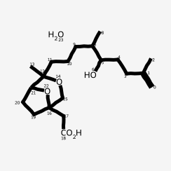 C=C(C)CCC(O)C(C)CCCC1(C)OCC2(CC(=O)O)CCC1O2.O